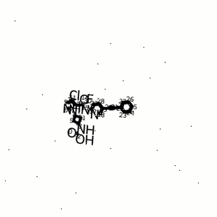 O=C(O)N[C@H]1C[C@H](n2ncc(Cl)c2C(=O)Nc2ncc(C#Cc3ccccc3)cc2F)C1